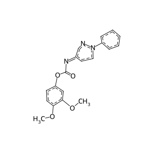 COc1ccc(OC(=O)/N=c2\ccn(-c3ccccc3)nc2)cc1OC